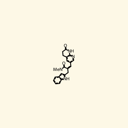 CNC(=O)C(=Cc1cnc2c(c1)CCC(=O)N2)Cc1cc2ccccc2[nH]1